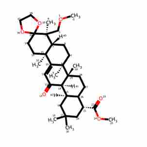 COC[C@@]1(C)[C@@H]2CC[C@]3(C)C(=CC(=O)[C@@H]4[C@@H]5CC(C)(C)C[C@@H](C(=O)OC)C5CC[C@]43C)[C@@]2(C)CCC12OCCO2